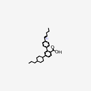 CCC/C=C/c1ccc(-c2cc(C3CCC(CCC)CC3)ccc2C(=O)O)cc1